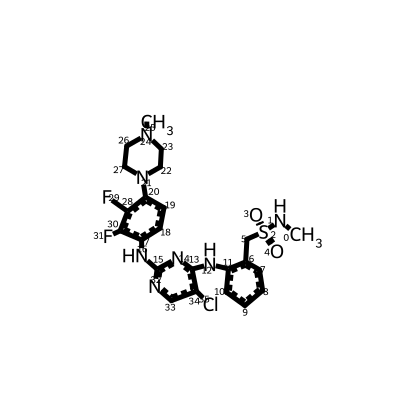 CNS(=O)(=O)Cc1ccccc1Nc1nc(Nc2ccc(N3CCN(C)CC3)c(F)c2F)ncc1Cl